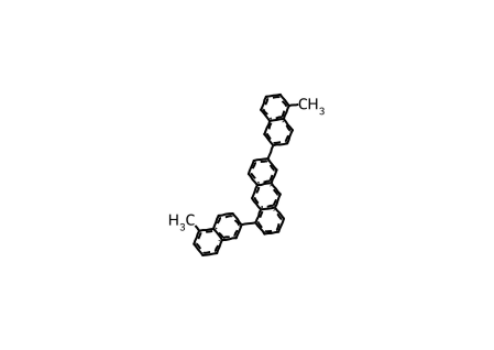 Cc1cccc2cc(-c3ccc4cc5c(-c6ccc7c(C)cccc7c6)cccc5cc4c3)ccc12